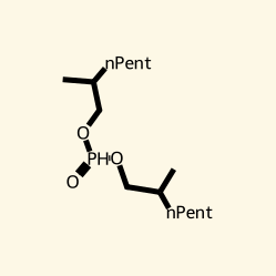 CCCCCC(C)CO[PH](=O)OCC(C)CCCCC